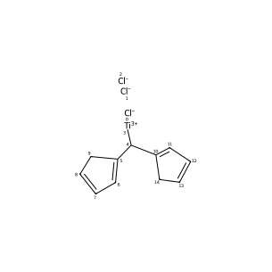 [Cl-].[Cl-].[Cl-].[Ti+3][CH](C1=CC=CC1)C1=CC=CC1